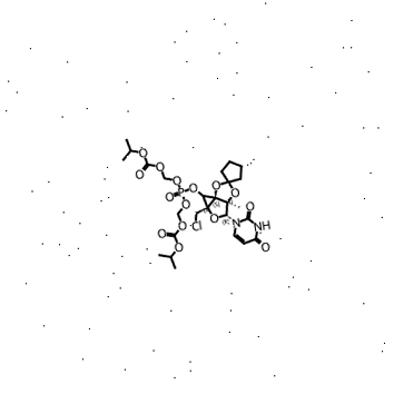 CC(C)OC(=O)OCOP(=O)(OCOC(=O)OC(C)C)OC1[C@]23OC4(CCCC4)O[C@@]2(C)[C@H](n2ccc(=O)[nH]c2=O)O[C@]13CCl